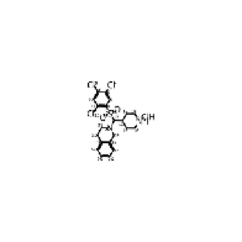 Cl.O=S(=O)(c1cc(Cl)c(Cl)cc1Cl)C(C1CCNCC1)N1CCc2ccccc2C1